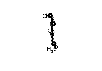 COc1ccc(CCCCOOC(=O)C=Cc2cccc(CSc3cccc(Cl)c3)n2)cc1